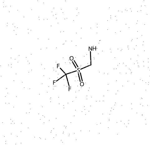 [NH]CS(=O)(=O)C(F)(F)F